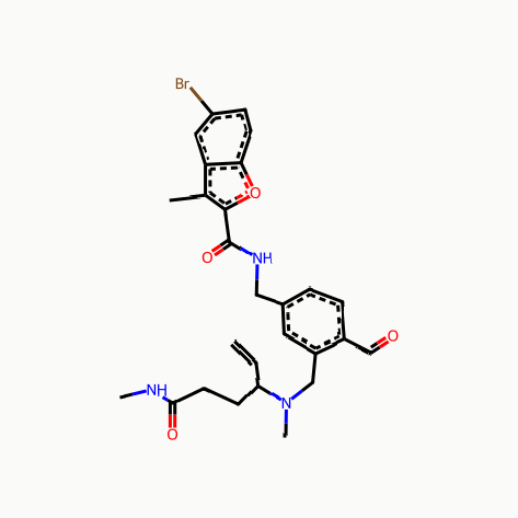 C=CC(CCC(=O)NC)N(C)Cc1cc(CNC(=O)c2oc3ccc(Br)cc3c2C)ccc1C=O